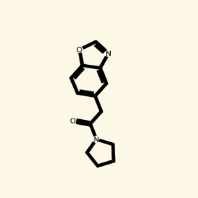 O=C(Cc1ccc2ocnc2c1)N1CCCC1